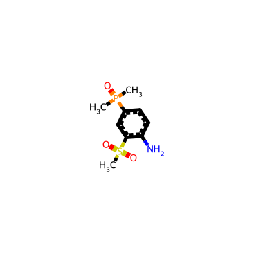 CP(C)(=O)c1ccc(N)c(S(C)(=O)=O)c1